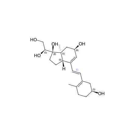 CC1=C(/C=C/C2=C[C@H](O)C[C@@]3(C)[C@H]2CC[C@]3(O)[C@@H](O)CO)C[C@@H](O)CC1